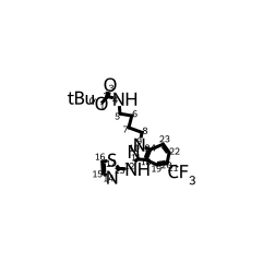 CC(C)(C)OC(=O)NCCCCn1nc(Nc2nccs2)c2cc(C(F)(F)F)ccc21